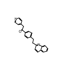 O=C(Cc1ccncc1)c1ccc(CCc2ccc3ccccc3n2)cc1